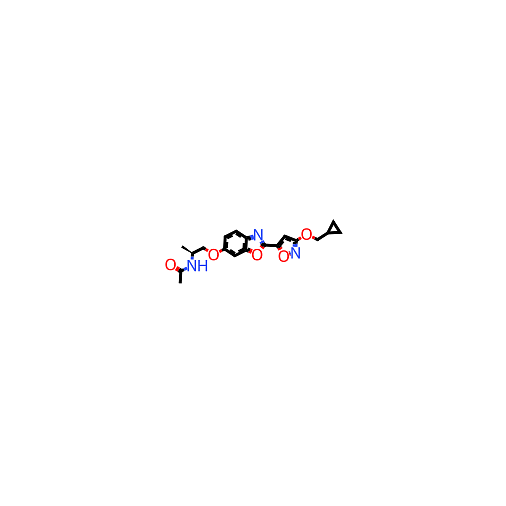 CC(=O)N[C@@H](C)COc1ccc2nc(-c3cc(OCC4CC4)no3)oc2c1